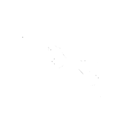 Cc1cn(COCC[Si](C)(C)C)c2nccc(Oc3ccc(NC(=O)OC(C)(C)C)c(F)c3)c12